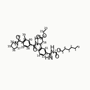 CCCCCCOC(=O)NC(=N)c1cccc(C(CC(=O)OCC)NC(=O)c2ccc(C(=O)N3CCCC3)c(C)c2)c1